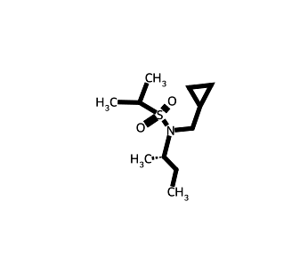 CC[C@H](C)N(CC1CC1)S(=O)(=O)C(C)C